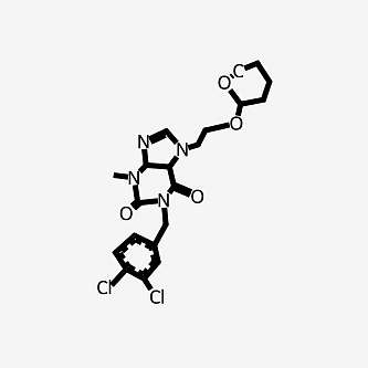 CN1C(=O)N(Cc2ccc(Cl)c(Cl)c2)C(=O)C2C1N=CN2CCOC1CCCCO1